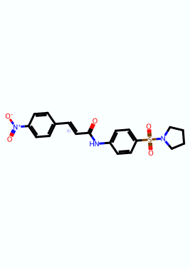 O=C(/C=C/c1ccc([N+](=O)[O-])cc1)Nc1ccc(S(=O)(=O)N2CCCC2)cc1